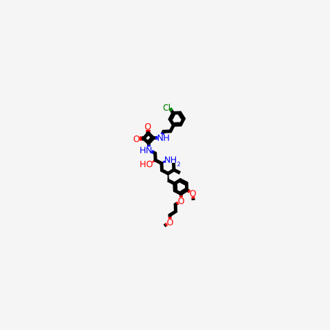 COCCCOc1cc(C[C@@H](C[C@H](N)[C@@H](O)CNc2c(NCCc3cccc(Cl)c3)c(=O)c2=O)C(C)C)ccc1OC